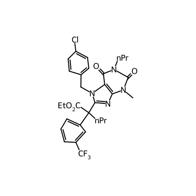 CCCn1c(=O)c2c(nc(C(CCC)(C(=O)OCC)c3cccc(C(F)(F)F)c3)n2Cc2ccc(Cl)cc2)n(C)c1=O